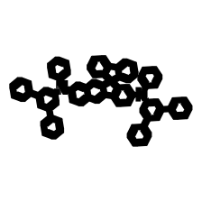 c1ccc(-c2cc(-c3ccccc3)cc(N(c3ccccc3)c3ccc4c(c3)C3(c5ccccc5-c5ccccc53)c3cc5cc(N(c6ccccc6)c6cc(-c7ccccc7)cc(-c7ccccc7)c6)ccc5cc3-4)c2)cc1